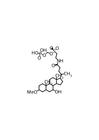 COC1CCC2(C)C(C1)CC(O)C1C2CCC2(C)C(C(C)CCC(=O)NCCS(=O)(=O)OCOP(=O)(O)O)CCC12